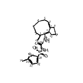 C=C1CCCC/C=C2/CCC/C2=C/1NC(=O)NS(=O)(=O)c1ccc(C)s1